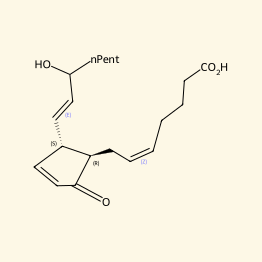 CCCCCC(O)/C=C/[C@H]1C=CC(=O)[C@@H]1C/C=C\CCCC(=O)O